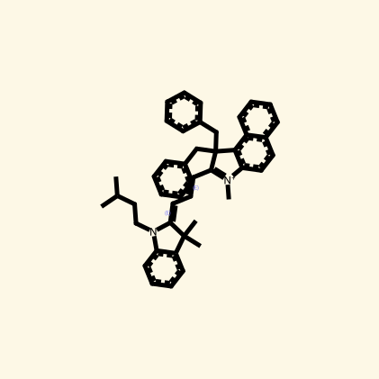 CC(C)CCN1/C(=C/C=C/C2=[N+](C)c3ccc4ccccc4c3C2(Cc2ccccc2)Cc2ccccc2)C(C)(C)c2ccccc21